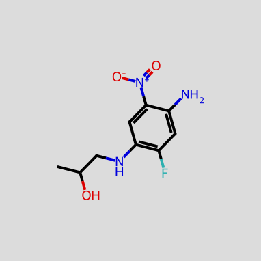 CC(O)CNc1cc([N+](=O)[O-])c(N)cc1F